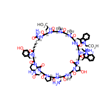 CCCC[C@H]1C(=O)N(C)[C@@H](CCCC)C(=O)N[C@@H](CCC(=O)O)C(=O)N[C@H](C(N)=O)CCCC(=O)N[C@@H](Cc2ccc(O)cc2)C(=O)N2CCCC[C@@]23C(=O)N3[C@@H](CC(N)=O)C(=O)N2CCC[C@H]2C(=O)N[C@@H](CN)C(=O)N[C@@H](CC(C)C)C(=O)N2C[C@H](O)C[C@@]23C(=O)N3[C@@H](Cc2c[nH]c3ccccc23)C(=O)N[C@@H](CCN)C(=O)N[C@@H](Cc2cn(CC(=O)O)c3ccccc23)C(=O)N1C